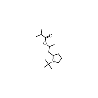 CC(CC1CCCN1C(C)(C)C)OC(=O)C(C)C